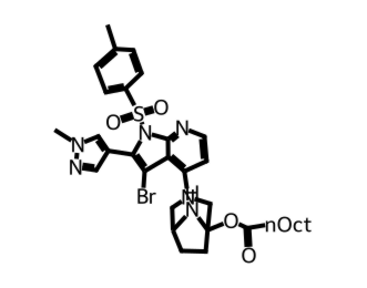 CCCCCCCCC(=O)OC12CCC(CN(c3ccnc4c3c(Br)c(-c3cnn(C)c3)n4S(=O)(=O)c3ccc(C)cc3)C1)N2